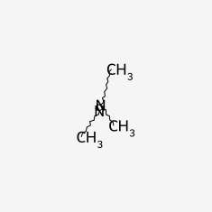 CCCCCCCCCCCN1C=CN(CCCCCCCCC)C1CCCCCC